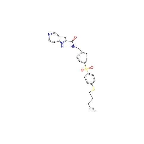 CCCCSc1ccc(S(=O)(=O)c2ccc(CNC(=O)c3cc4cnccc4[nH]3)cc2)cc1